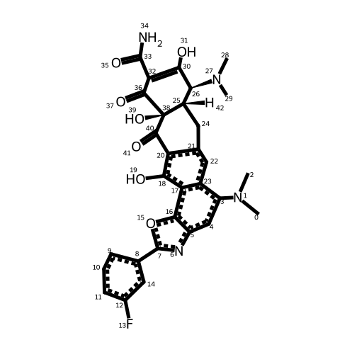 CN(C)c1cc2nc(-c3cccc(F)c3)oc2c2c(O)c3c(cc12)C[C@H]1[C@H](N(C)C)C(O)=C(C(N)=O)C(=O)[C@@]1(O)C3=O